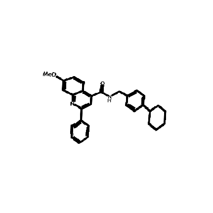 COc1ccc2c(C(=O)NCc3ccc(C4CCCCC4)cc3)cc(-c3ccccc3)nc2c1